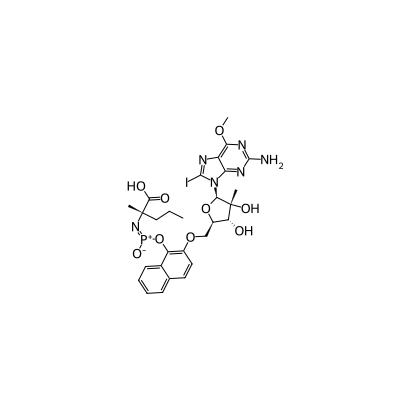 CCC[C@](C)(/N=[P+](/[O-])Oc1c(OC[C@H]2O[C@@H](n3c(I)nc4c(OC)nc(N)nc43)[C@](C)(O)[C@@H]2O)ccc2ccccc12)C(=O)O